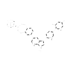 Cc1cc(F)cnc1-c1ccc(-c2c[nH]c3ncc(-c4ccc5c(c4)CC[C@@H](N4C6COCC4C6)CC5)cc23)nc1